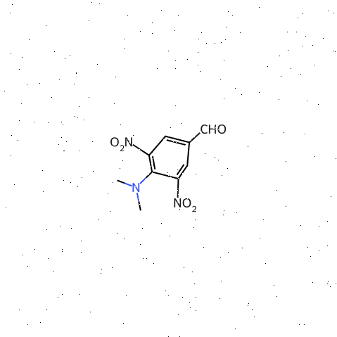 CN(C)c1c([N+](=O)[O-])cc(C=O)cc1[N+](=O)[O-]